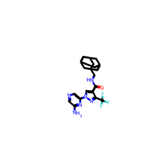 Nc1cncc(-n2cc(C(=O)NCC34CC5CC(CC(C5)C3)C4)c(C(F)(F)F)n2)n1